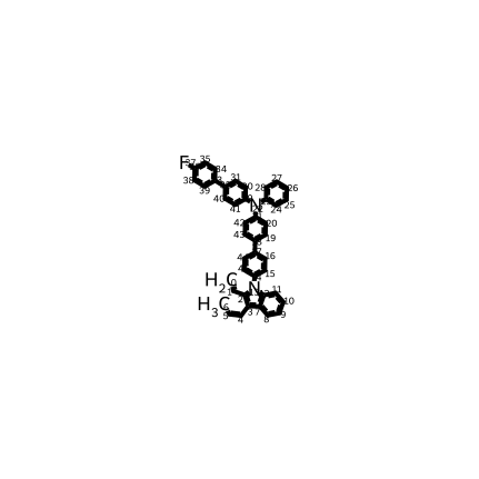 C=Cc1c(/C=C\C)c2ccccc2n1-c1ccc(-c2ccc(N(c3ccccc3)c3ccc(-c4ccc(F)cc4)cc3)cc2)cc1